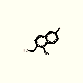 Cc1ccc2c(C(C)C)c(CO)ccc2c1